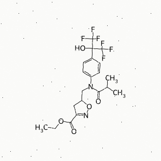 CCOC(=O)C1=NOC(CN(C(=O)C(C)C)c2ccc(C(O)(C(F)(F)F)C(F)(F)F)cc2)C1